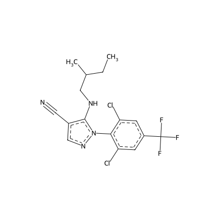 CCC(C)CNc1c(C#N)cnn1-c1c(Cl)cc(C(F)(F)F)cc1Cl